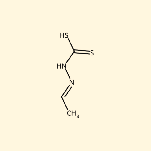 CC=NNC(=S)S